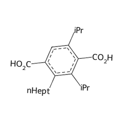 CCCCCCCc1c(C(=O)O)cc(C(C)C)c(C(=O)O)c1C(C)C